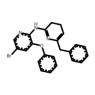 Brc1cnc(NC2=NC(Cc3ccccc3)=CCC2)c(Oc2ccccc2)c1